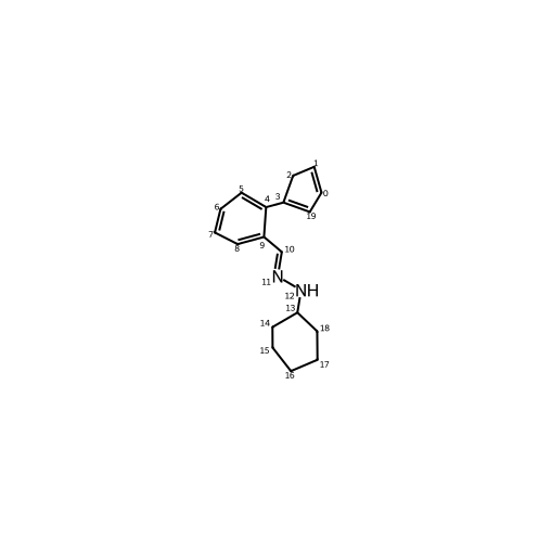 C1=CCC(c2ccccc2C=NNC2CCCCC2)=C1